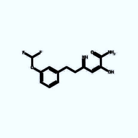 N=C(/C=C(/O)C(N)=O)CCc1cccc(OC(F)F)c1